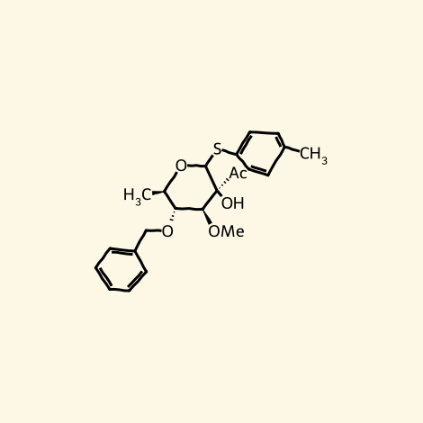 CO[C@H]1[C@H](OCc2ccccc2)[C@@H](C)OC(Sc2ccc(C)cc2)[C@]1(O)C(C)=O